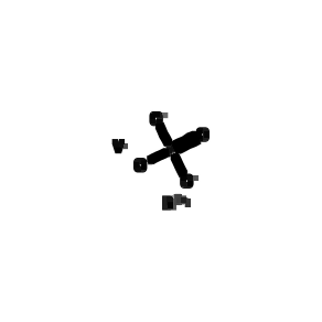 O=P([O-])([O-])[O-].[Bi+3].[V]